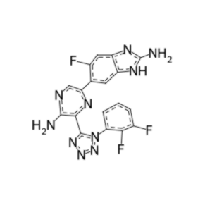 Nc1nc2cc(F)c(-c3cnc(N)c(-c4nnnn4-c4cccc(F)c4F)n3)cc2[nH]1